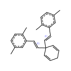 Cc1ccc(C)c(/C=C/C2(/C=C/c3cc(C)ccc3C)C=CCC=C2)c1